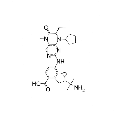 CC[C@@H]1C(=O)N(C)c2cnc(Nc3ccc(C(=O)O)c4c3OC(C(C)(C)N)C4)nc2N1C1CCCC1